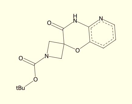 CC(C)(C)OC(=O)N1CC2(C1)Oc1cccnc1NC2=O